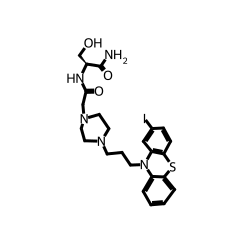 NC(=O)[C@H](CO)NC(=O)CN1CCN(CCCN2c3ccccc3Sc3ccc(I)cc32)CC1